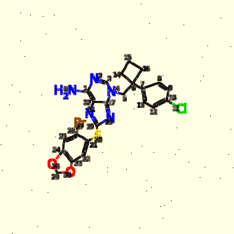 Nc1ncn(CC2(c3ccc(Cl)cc3)CCC2)c2nc(Sc3cc4c(cc3Br)OCO4)nc1-2